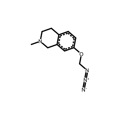 CN1CCc2ccc(OCN=[N+]=[N-])cc2C1